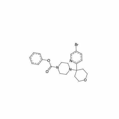 O=C(Oc1ccccc1)N1CCN(C2(c3ccc(Br)cn3)CCOCC2)CC1